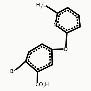 Cc1cccc(Oc2ccc(Br)c(C(=O)O)c2)n1